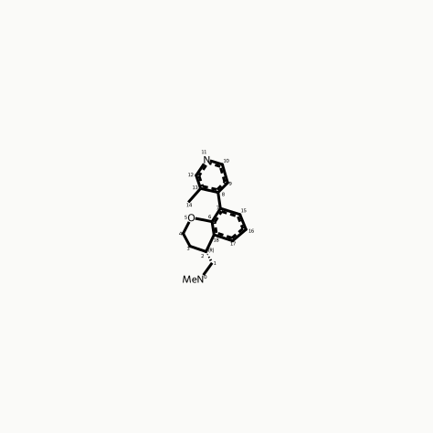 CNC[C@@H]1CCOc2c(-c3ccncc3C)cccc21